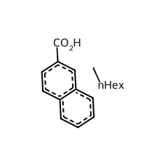 CCCCCCC.O=C(O)c1ccc2ccccc2c1